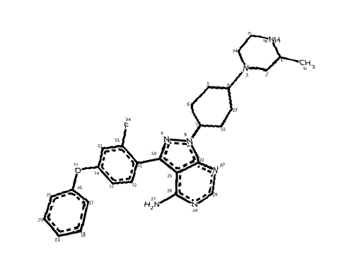 CC1CN(C2CCC(n3nc(-c4ccc(Oc5ccccc5)cc4F)c4c(N)ncnc43)CC2)CCN1